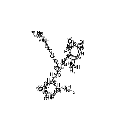 N=C(N)NCCC[C@@H]1NC(=O)C(CCCCNC(=O)CCN(CCC(=O)NCCCC[C@@H]2NC(=O)N(Cc3ccccc3)NC(=O)[C@H](CC(=O)O)NC(=O)CNC(=O)[C@H](CCCNC(=N)N)NC2=O)C(=O)CCOCCOCCOCCOCCNC(=O)Cn2cc(C[18F])nn2)NC(=O)N(Cc2ccccc2)CC(=O)[C@H](CC(=O)O)NC(=O)CNC1=O